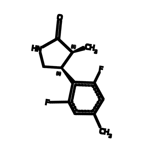 Cc1cc(F)c([C@H]2CNC(=O)[C@H]2C)c(F)c1